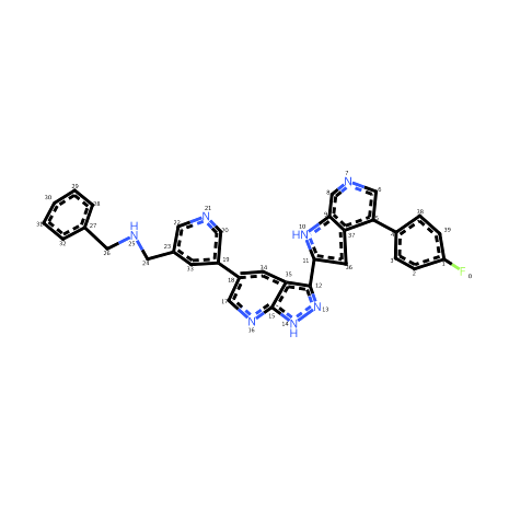 Fc1ccc(-c2cncc3[nH]c(-c4n[nH]c5ncc(-c6cncc(CNCc7ccccc7)c6)cc45)cc23)cc1